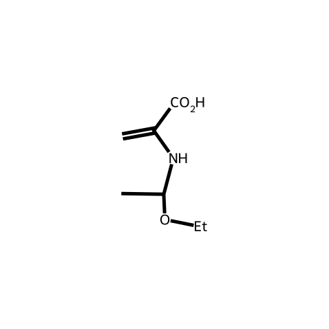 C=C(NC(C)OCC)C(=O)O